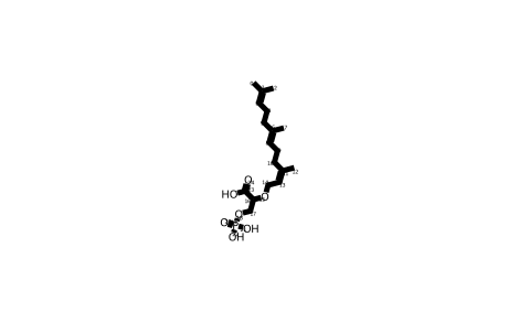 CC(C)=CCC/C(C)=C/CC/C(C)=C\COC(COP(=O)(O)O)C(=O)O